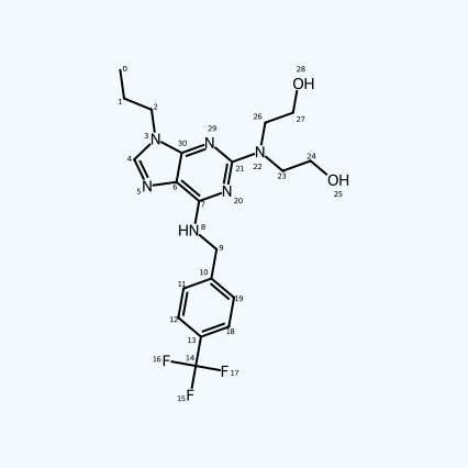 CCCn1cnc2c(NCc3ccc(C(F)(F)F)cc3)nc(N(CCO)CCO)nc21